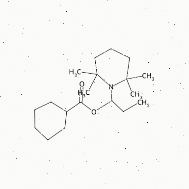 CCC(OC(=O)C1CCCCC1)N1C(C)(C)CCCC1(C)C